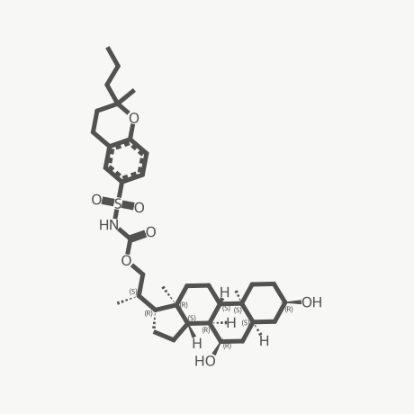 CCCC1(C)CCc2cc(S(=O)(=O)NC(=O)OC[C@@H](C)[C@H]3CC[C@H]4[C@@H]5[C@H](O)C[C@@H]6C[C@H](O)CC[C@]6(C)[C@H]5CC[C@]34C)ccc2O1